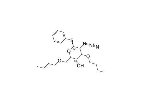 CCCCOCC1O[C@@H](Sc2ccccc2)C(N=[N+]=[N-])C(OCCCC)[C@@H]1O